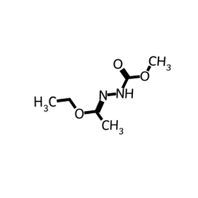 CCOC(C)=NNC(=O)OC